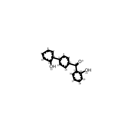 O=C(c1ccc(-c2ccccc2O)cc1)c1ccccc1O